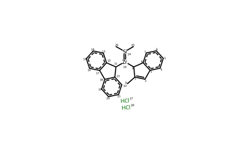 CC1=Cc2ccccc2[CH]1[Zr]([CH]1c2ccccc2-c2ccccc21)=[Si](C)C.Cl.Cl